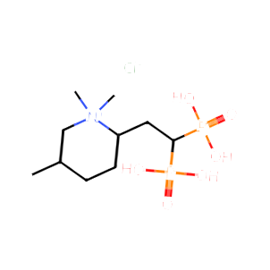 CC1CCC(CC(P(=O)(O)O)P(=O)(O)O)[N+](C)(C)C1.[Cl-]